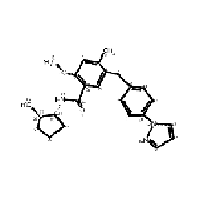 COc1cc(C)c(Cc2ccc(-n3cccn3)cc2)cc1C(=O)N[C@@H]1CCC[C@H]1O